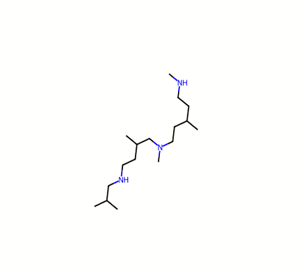 CNCCC(C)CCN(C)CC(C)CCNCC(C)C